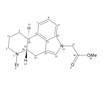 CCN1CCC[C@H]2c3cccc4c3c(cn4CC(=O)OC)C[C@@H]21